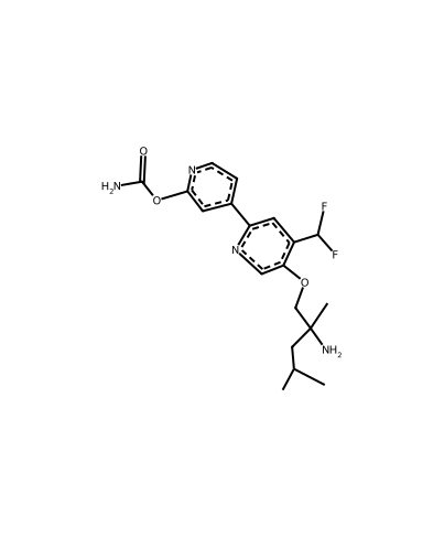 CC(C)CC(C)(N)COc1cnc(-c2ccnc(OC(N)=O)c2)cc1C(F)F